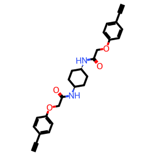 C#Cc1ccc(OCC(=O)N[C@H]2CC[C@H](NC(=O)COc3ccc(C#C)cc3)CC2)cc1